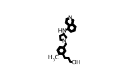 Cc1ccc(CN2CCC(Nc3cccc4cnccc34)C2)cc1CCCO